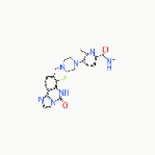 CNC(=O)c1ccc(N2CCN(Cc3ccc4c([nH]c(=O)n5ccnc45)c3F)CC2)c(C)n1